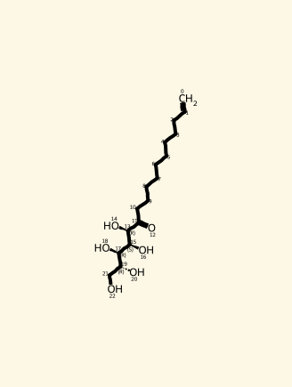 C=CCCCCCCCCCC(=O)[C@H](O)[C@@H](O)[C@H](O)[C@H](O)CO